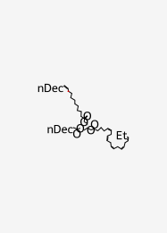 CC/C=C\C/C=C\C/C=C\C/C=C\C/C=C\CCCC(=O)O[C@@H](COC(=O)CCCCCCCCC/C=C\CCCCCCCCCC)COC(=O)CCCCCCCCCCC